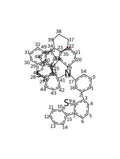 c1cc(-c2cccc3c2sc2ccccc23)cc(N(c2ccccc2-c2cccc3cccc(C4CCCCC4)c23)c2cccc3sc4ccccc4c23)c1